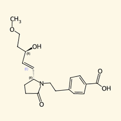 COCC[C@@H](O)/C=C/[C@H]1CCC(=O)N1CCc1ccc(C(=O)O)cc1